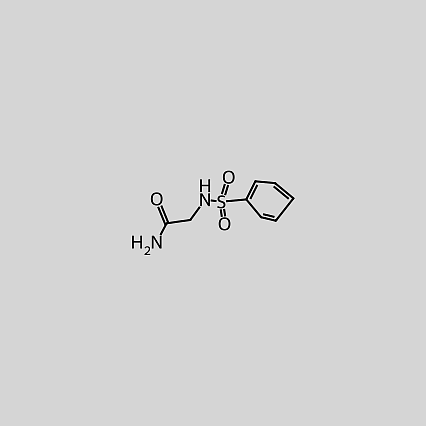 NC(=O)CNS(=O)(=O)c1ccccc1